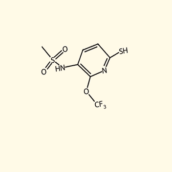 CS(=O)(=O)Nc1ccc(S)nc1OC(F)(F)F